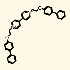 c1ccc(-c2ccc(OCC[n+]3ccc(-c4cc[n+](CCOc5ccc(-c6ccccc6)cc5)cc4)cc3)cc2)cc1